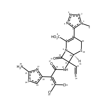 Cn1nnnc1C1=C(C(=O)O)N2C(=O)C(C=S)(NC(=O)C(=C(Cl)Cl)c3csc(N)n3)[C@@H]2SC1